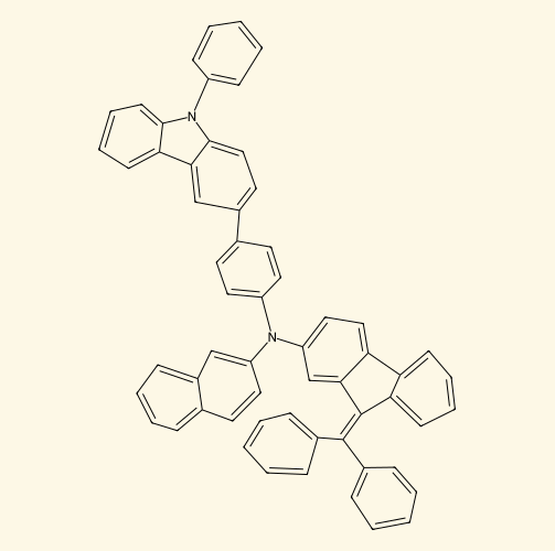 c1ccc(C(=C2c3ccccc3-c3ccc(N(c4ccc(-c5ccc6c(c5)c5ccccc5n6-c5ccccc5)cc4)c4ccc5ccccc5c4)cc32)c2ccccc2)cc1